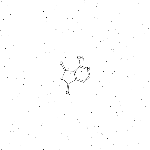 Cc1nccc2c1C(=O)OC2=O